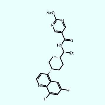 CC[C@H](NC(=O)c1cnc(OC)nc1)[C@H]1CC[C@@H](c2ccnc3c(F)cc(F)cc32)CC1